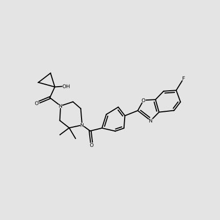 CC1(C)CN(C(=O)C2(O)CC2)CCN1C(=O)c1ccc(-c2nc3ccc(F)cc3o2)cc1